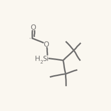 CC(C)(C)C([SiH2]O[C]=O)C(C)(C)C